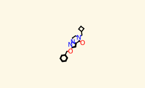 O=C1c2cc(OCc3ccccc3)nn2CCN1CC1CCC1